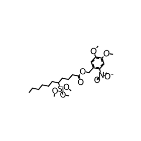 CCCCCCC(CCCC(=O)OCc1cc(OC)c(OC)cc1[N+](=O)[O-])[Si](OC)(OC)OC